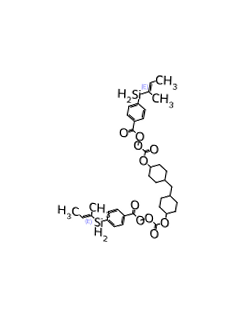 C/C=C(\C)[SiH2]c1ccc(C(=O)OOC(=O)OC2CCC(CC3CCC(OC(=O)OOC(=O)c4ccc([SiH2]/C(C)=C/C)cc4)CC3)CC2)cc1